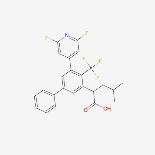 CC(C)CC(C(=O)O)c1cc(-c2ccccc2)cc(-c2cc(F)nc(F)c2)c1C(F)(F)F